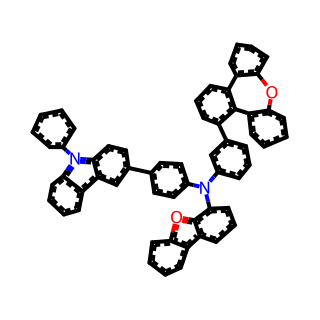 c1ccc(-n2c3ccccc3c3cc(-c4ccc(N(c5cccc(-c6cccc7c6-c6ccccc6Oc6ccccc6-7)c5)c5cccc6c5oc5ccccc56)cc4)ccc32)cc1